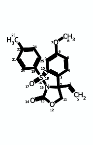 C=CC1(c2ccc(OC)cc2)COC(=O)N1S(=O)(=O)c1ccc(C)cc1